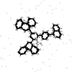 CN1C(c2cc3ccccc3c3ccccc23)=CC(c2cc3ccccc3c3ccccc23)=NC1c1ccc(-c2nccc3ccccc23)cc1